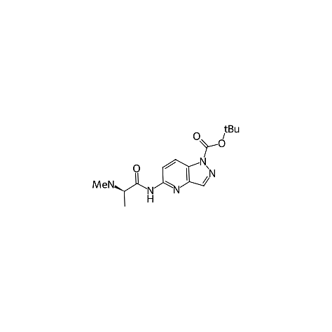 CN[C@H](C)C(=O)Nc1ccc2c(cnn2C(=O)OC(C)(C)C)n1